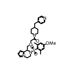 COc1cc(C)c(S(=O)(=O)N2CCn3cccc3C2COCC(=O)N2CCC(Cc3ccncc3)CC2)c(C)c1